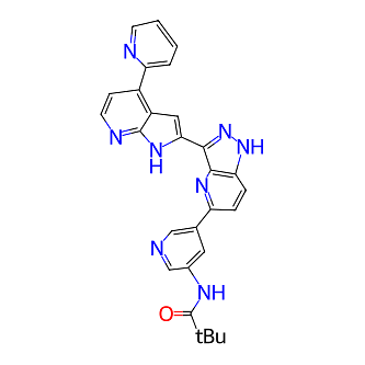 CC(C)(C)C(=O)Nc1cncc(-c2ccc3[nH]nc(-c4cc5c(-c6ccccn6)ccnc5[nH]4)c3n2)c1